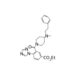 CCOC(=O)c1ccc(-n2cncn2)c(C(=O)N2CCC(N(C)CCc3ccccc3)CC2)c1